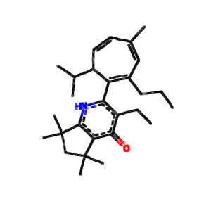 CCCC1=C(c2[nH]c3c(c(=O)c2CC)C(C)(C)CC3(C)C)C(C(C)C)C=CC(C)=C1